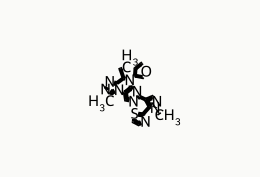 CCC1c2nnc(C)n2-c2cnc(-c3cnn(C)c3-c3nccs3)nc2N1C1CCOC1